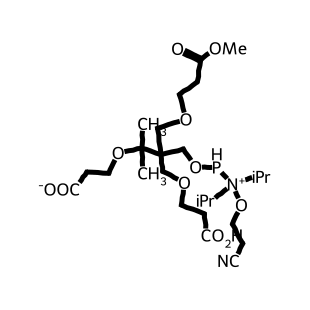 COC(=O)CCOCC(COCCC(=O)O)(COP[N+](OCCC#N)(C(C)C)C(C)C)C(C)(C)OCCC(=O)[O-]